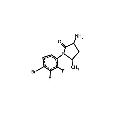 CC1CC(N)C(=O)N1c1ccc(Br)c(F)c1F